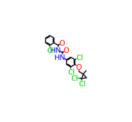 CC1(COc2c(Cl)cc(NC(=O)NC(=O)c3ccccc3Cl)cc2Cl)CC1(Cl)Cl